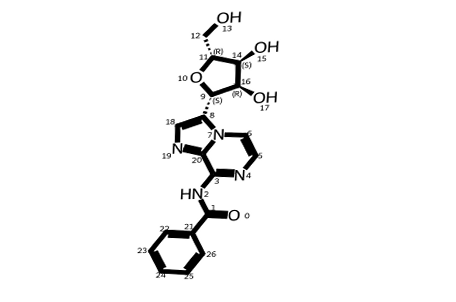 O=C(Nc1nccn2c([C@@H]3O[C@H](CO)[C@@H](O)[C@H]3O)cnc12)c1ccccc1